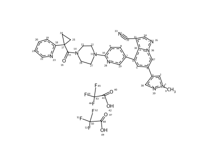 Cn1cc(-c2cc(-c3ccc(N4CCN(C(=O)C5(c6ccccn6)CC5)CC4)nc3)c3c(C#N)cnn3c2)cn1.O=C(O)C(F)(F)F.O=C(O)C(F)(F)F